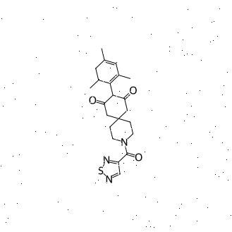 CC1=CC(C)=C(C2C(=O)CC3(CCN(C(=O)c4cnsn4)CC3)CC2=O)C(C)C1